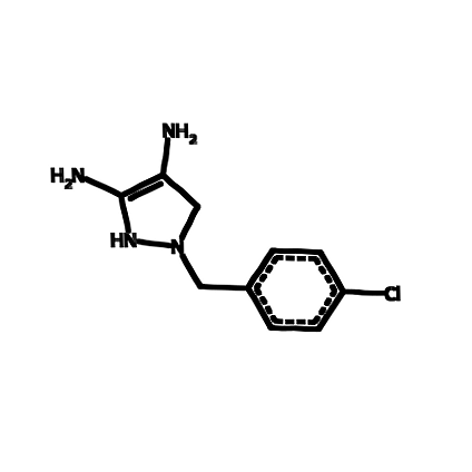 NC1=C(N)NN(Cc2ccc(Cl)cc2)C1